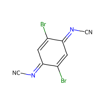 N#CN=C1C=C(Br)C(=NC#N)C=C1Br